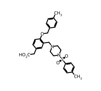 Cc1ccc(COc2ccc(CC(=O)O)cc2CN2CCN(S(=O)(=O)c3ccc(C)cc3)CC2)cc1